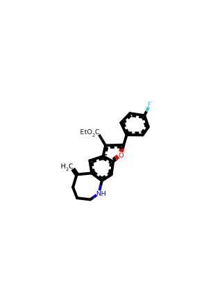 C=C1CCCNc2cc3oc(-c4ccc(F)cc4)c(C(=O)OCC)c3cc21